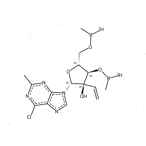 [2H]B(C)OC[C@H]1O[C@@H](n2cnc3c(Cl)nc(C)nc32)[C@@](O)(C=C)[C@@H]1OB([2H])C